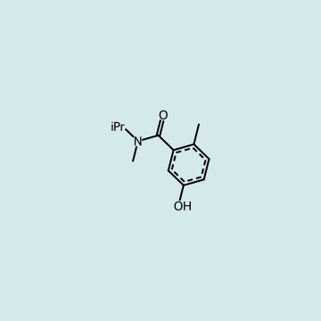 Cc1ccc(O)cc1C(=O)N(C)C(C)C